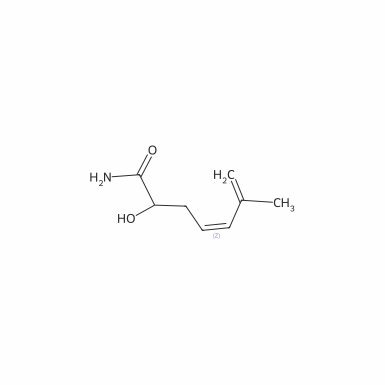 C=C(C)/C=C\CC(O)C(N)=O